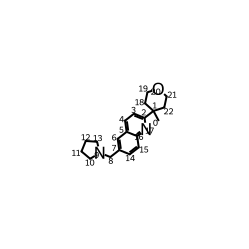 CC1(c2ccc3cc(CN4CCCC4)ccc3n2)CCOCC1